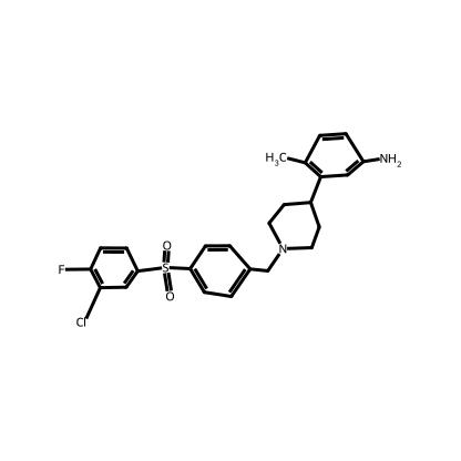 Cc1ccc(N)cc1C1CCN(Cc2ccc(S(=O)(=O)c3ccc(F)c(Cl)c3)cc2)CC1